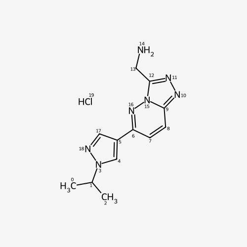 CC(C)n1cc(-c2ccc3nnc(CN)n3n2)cn1.Cl